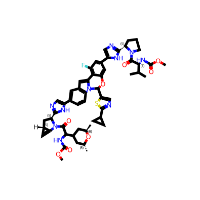 COC(=O)NC(C(=O)N1C2=C[C@@H]2C[C@H]1c1ncc(-c2ccc3c(c2)cc2n3C(c3cnc(C4CC4)s3)Oc3cc(-c4cnc([C@@H]5CCCN5C(=O)[C@@H](NC(=O)OC)C(C)C)[nH]4)cc(F)c3-2)[nH]1)C1C[C@@H](C)O[C@H](C)C1